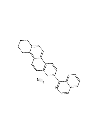 N.c1ccc2c(-c3ccc4c(ccc5c6c(ccc54)CCCC6)c3)nccc2c1